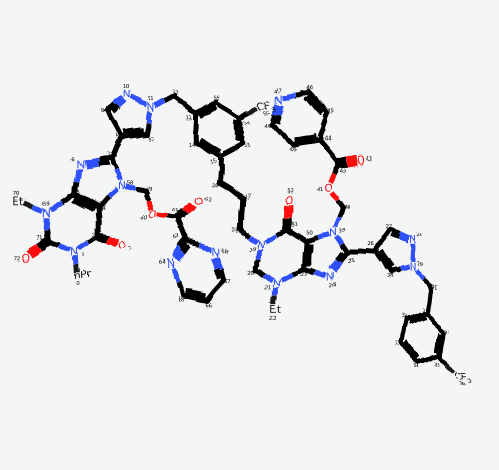 CCCn1c(=O)c2c(nc(-c3cnn(Cc4cc(CCCN5CN(CC)c6nc(-c7cnn(Cc8cccc(C(F)(F)F)c8)c7)n(COC(=O)c7ccncc7)c6C5=O)cc(C(F)(F)F)c4)c3)n2COC(=O)c2ncccn2)n(CC)c1=O